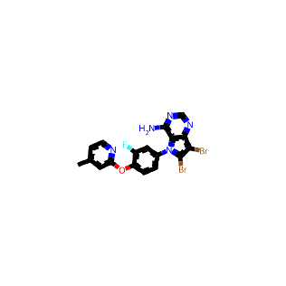 Cc1ccnc(Oc2ccc(-n3c(Br)c(Br)c4ncnc(N)c43)cc2F)c1